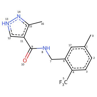 Cc1ccc(C(F)(F)F)c(CNC(=O)c2c[nH]nc2C)c1